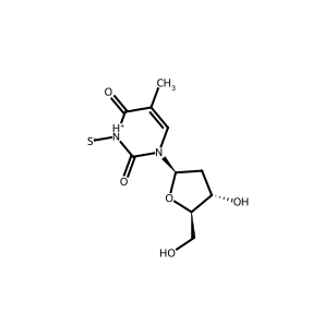 CC1=CN([C@H]2C[C@H](O)[C@@H](CO)O2)C(=O)[NH+]([S-])C1=O